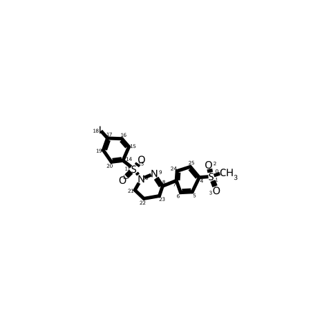 CS(=O)(=O)c1ccc(C2=NN(S(=O)(=O)c3ccc(I)cc3)CCC2)cc1